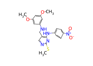 COc1cc(NCc2cnc(SC)nc2Nc2ccc([N+](=O)[O-])cc2)cc(OC)c1